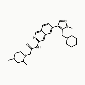 CC1CN(C)CCN1CC(=O)Nc1cc2cc(-c3cnn(C)c3CN3CCCCC3)ccc2cn1